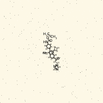 CC(C)OC(=O)Nc1ccc(-c2c(C#N)c3ccc([S+]([O-])CCn4cncn4)cc3n2C2CCC2)cc1